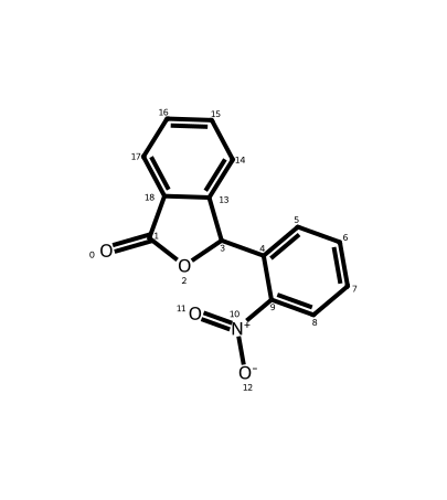 O=C1OC(c2ccccc2[N+](=O)[O-])c2ccccc21